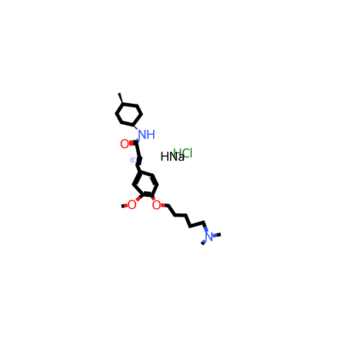 COc1cc(/C=C/C(=O)N[C@H]2CC[C@H](C)CC2)ccc1OCCCCCN(C)C.Cl.[NaH]